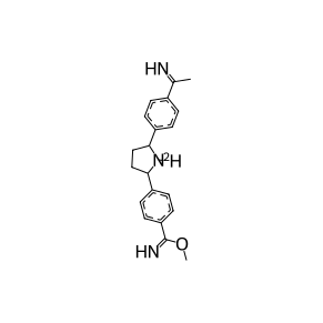 [2H]N1C(c2ccc(C(C)=N)cc2)CCC1c1ccc(C(=N)OC)cc1